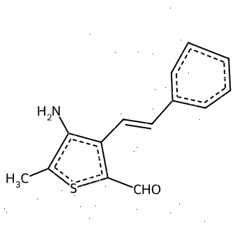 Cc1sc(C=O)c(C=Cc2ccccc2)c1N